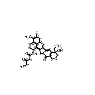 CC[C@@]1(O)COCc2c1cc1n(c2=O)Cc2c-1nc1cc(F)c(C)c3c1c2[C@@H](NC(=O)CC(=O)CS)CC3